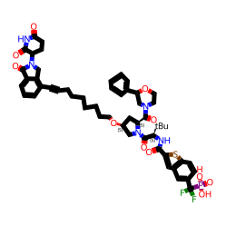 CC(C)(C)[C@H](NC(=O)c1cc2cc(C(F)(F)P(=O)(O)O)ccc2s1)C(=O)N1C[C@@H](OCCCCCCCC#Cc2cccc3c2CN(C2CCC(=O)NC2=O)C3=O)C[C@H]1C(=O)N1CCOC(c2ccccc2)C1